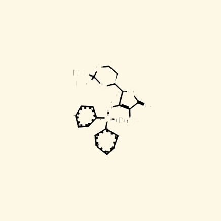 CC1(C)OCC[C@@H]([C@H]2OC(=O)C(O)=C2O[Si](c2ccccc2)(c2ccccc2)C(C)(C)C)O1